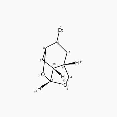 CCC1C[C@@H]2CO[C@@H]3OC1C[C@H]23